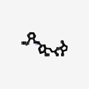 O=C(CCc1cc(/N=N/c2ccccc2C(=O)O)ccc1O)ON1C(=O)CCC1=O